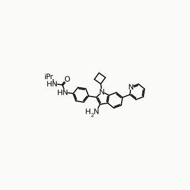 CC(C)NC(=O)Nc1ccc(-c2c(N)c3ccc(-c4ccccn4)cc3n2C2CCC2)cc1